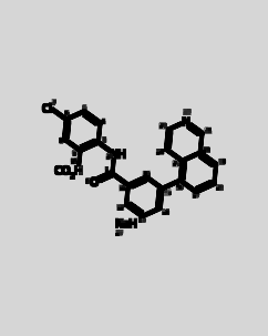 O=C(Nc1ccc(Cl)cc1C(=O)O)c1cccc(-c2cccc3cnccc23)c1.[NaH]